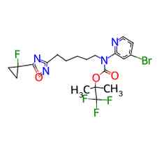 CC(C)(OC(=O)N(CCCCCc1noc(C2(F)CC2)n1)c1cc(Br)ccn1)C(F)(F)F